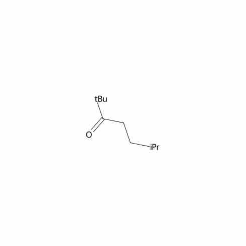 CC(C)CCC(=O)C(C)(C)C